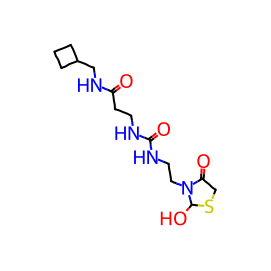 O=C(CCNC(=O)NCCN1C(=O)CSC1O)NCC1CCC1